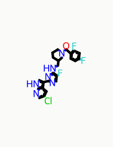 O=C(c1ccc(F)cc1F)N1CCCC(CNc2nc(-c3c[nH]c4ncc(Cl)cc34)ncc2F)C1